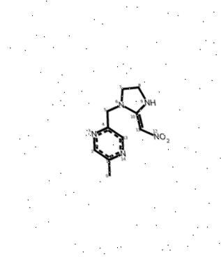 Cc1cnc(CN2CCNC2=C[N+](=O)[O-])cn1